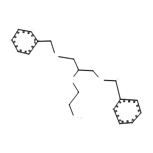 COCCOC(COCc1ccccc1)COCc1ccccc1